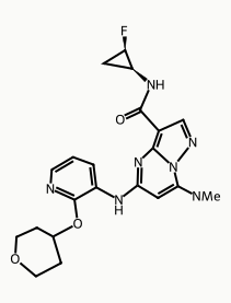 CNc1cc(Nc2cccnc2OC2CCOCC2)nc2c(C(=O)N[C@H]3C[C@H]3F)cnn12